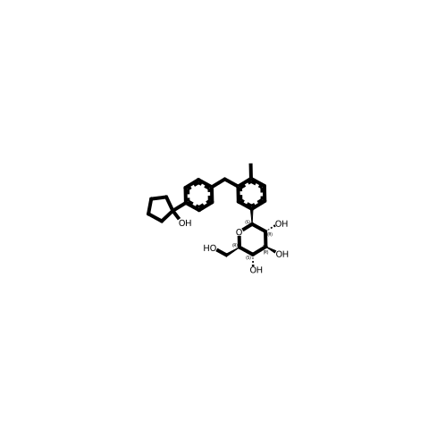 Cc1ccc([C@@H]2O[C@H](CO)[C@@H](O)[C@H](O)[C@H]2O)cc1Cc1ccc(C2(O)CCCC2)cc1